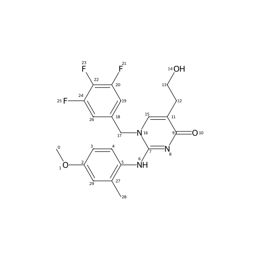 COc1ccc(Nc2nc(=O)c(CCO)cn2Cc2cc(F)c(F)c(F)c2)c(C)c1